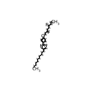 CCCCCCCCCCCc1cnc(-c2ccc(OCCC(F)CCC(F)CCC)cc2)nc1